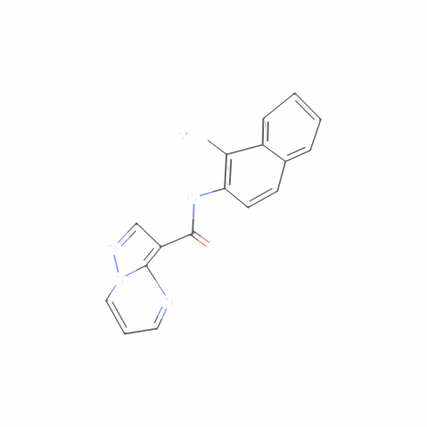 COc1c(NC(=O)c2cnn3cccnc23)ccc2ccccc12